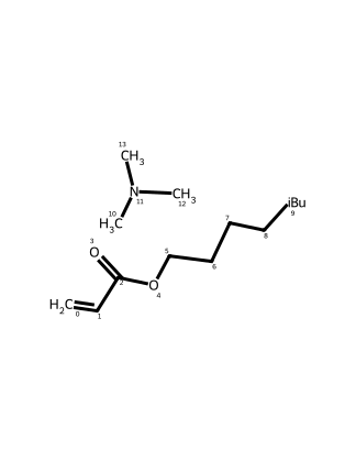 C=CC(=O)OCCCCC(C)CC.CN(C)C